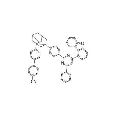 N#Cc1ccc(-c2ccc(C34CC5CC(C3)CC(c3ccc(-c6nc(-c7ccccc7)cc(-c7cccc8oc9ccccc9c78)n6)cc3)(C5)C4)cc2)cc1